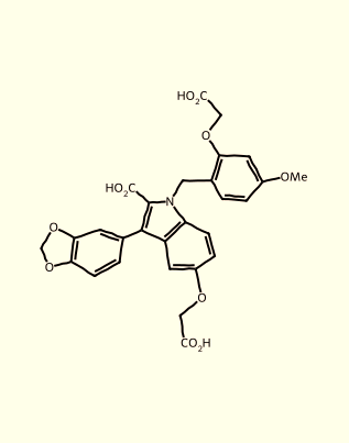 COc1ccc(Cn2c(C(=O)O)c(-c3ccc4c(c3)OCO4)c3cc(OCC(=O)O)ccc32)c(OCC(=O)O)c1